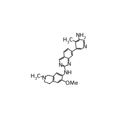 COc1cc2c(cc1Nc1ncc3ccc(-c4cncc(N)c4C)cc3n1)CN(C)CC2